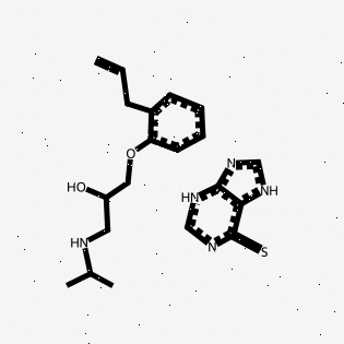 C=CCc1ccccc1OCC(O)CNC(C)C.S=c1nc[nH]c2nc[nH]c12